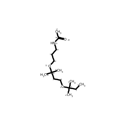 CCC(C)(C)OCCC(C)(C)OCCCNC(C)=O